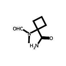 CN(C=O)C1(C(N)=O)CCC1